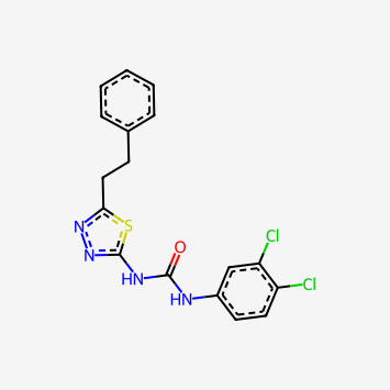 O=C(Nc1ccc(Cl)c(Cl)c1)Nc1nnc(CCc2ccccc2)s1